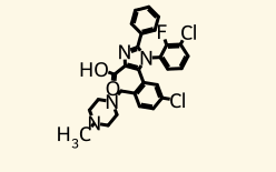 CN1CCN(Cc2ccc(Cl)cc2-c2c(C(=O)O)nc(-c3ccccc3)n2-c2cccc(Cl)c2F)CC1